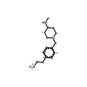 CNC1CCN(Cc2ccc(CCN)cc2)CC1